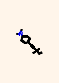 C=CC(C)(C)C#Cc1ccc(N(C)C)cc1